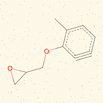 Cc1ccc#cc1OCC1CO1